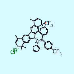 CC1=CCC(C)(C)c2cc3c(cc21)-c1cc2c(cc1[CH]3[Zr+2]([C]1=CC=CC1)=[C](c1ccc(C(F)(F)F)cc1)c1ccc(C(F)(F)F)cc1)C(C)(C)CC=C2C.[Cl-].[Cl-]